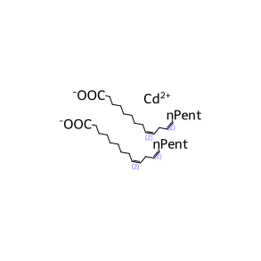 CCCCC/C=C\C/C=C\CCCCCCCC(=O)[O-].CCCCC/C=C\C/C=C\CCCCCCCC(=O)[O-].[Cd+2]